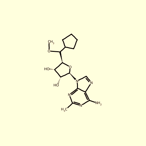 COC(C1CCCC1)[C@H]1O[C@@H](n2cnc3c(N)nc(C)nc32)[C@H](O)[C@@H]1O